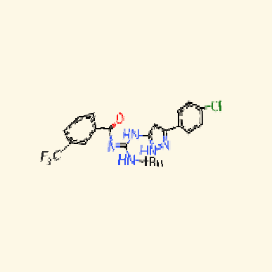 CC(C)(C)N/C(=N/C(=O)c1cccc(C(F)(F)F)c1)Nc1cc(-c2ccc(Cl)cc2)n[nH]1